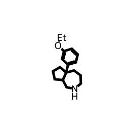 CCOc1cccc(C23CCCNCC2CCC3)c1